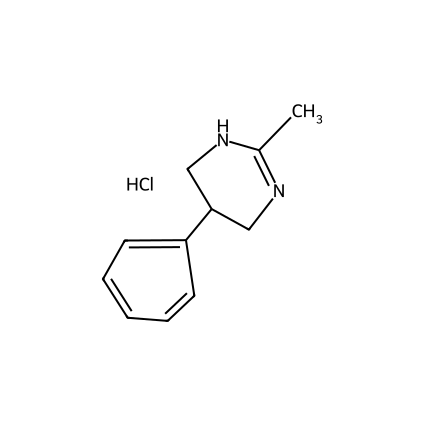 CC1=NCC(c2ccccc2)CN1.Cl